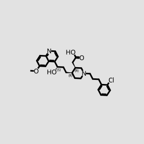 COc1ccc2nccc([C@@H](O)CC[C@@H]3CCN(CCCc4ccccc4Cl)C[C@@H]3CC(=O)O)c2c1